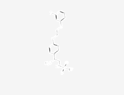 CC(CNS(=O)(=O)C(C)C)c1ccc(OCCOc2cccc(F)c2)cc1